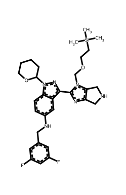 C[Si](C)(C)CCOCn1c(-c2nn(C3CCCCO3)c3ccc(NCc4cc(F)cc(F)c4)cc23)nc2c1CNC2